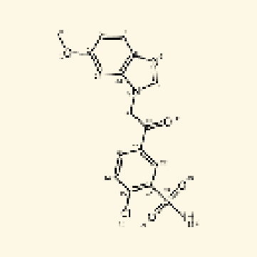 COc1ccc2ncn(CC(=O)c3ccc(Cl)c(S(N)(=O)=O)c3)c2c1